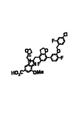 COc1cc(C(=O)O)cc2c1nc(Cc1c(F)cc(-c3ccc(F)c(OCc4ccc(Cl)cc4F)c3)c3c1CCO3)n2C[C@@H]1CCO1